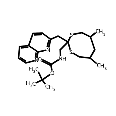 CC1CSC(CNC(=O)OC(C)(C)C)(Cc2ccc3cccnc3n2)SCC(C)C1